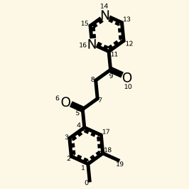 Cc1ccc(C(=O)CCC(=O)c2ccncn2)cc1C